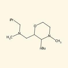 CCCCC1C(CN(C)CC(C)C)OCCN1C